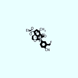 CCS(=O)(=O)[C@@H]1C[C@@]2(C)O[C@@]13CCO[C@H]1[C@@H]3[C@@H]2C(=O)N1c1ccc(C#N)c(CF)c1